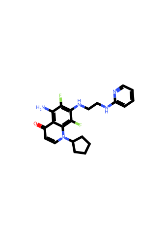 Nc1c(F)c(NCCNc2ccccn2)c(F)c2c1c(=O)ccn2C1CCCC1